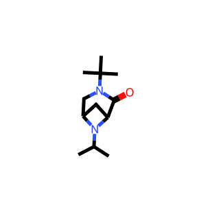 CC(C)N1C2CC1C(=O)N(C(C)(C)C)C2